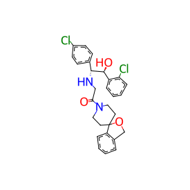 O=C(CN[C@H](c1ccc(Cl)cc1)[C@@H](O)c1ccccc1Cl)N1CCC2(CC1)OCc1ccccc12